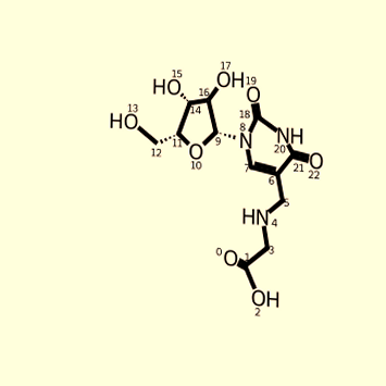 O=C(O)CNCc1cn([C@@H]2O[C@H](CO)[C@H](O)C2O)c(=O)[nH]c1=O